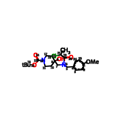 COc1ccc(CN(CC2(O)CCN(C(=O)OC(C)(C)C)CC2)C(=O)C(C)Cl)cc1